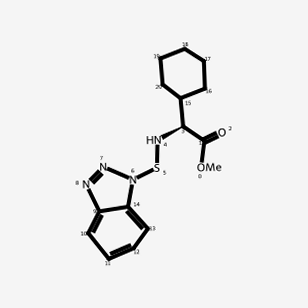 COC(=O)[C@@H](NSn1nnc2ccccc21)C1CCCCC1